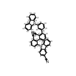 N#Cc1ccc2c(c1)c1ccccc1n2-c1cccc(C#N)c1-c1cccc(-c2cccc(-n3c4ccccc4c4ccccc43)c2)c1C#N